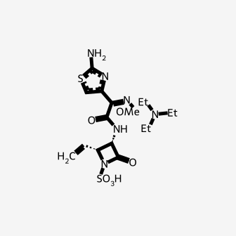 C=C[C@@H]1[C@H](NC(=O)/C(=N\OC)c2csc(N)n2)C(=O)N1S(=O)(=O)O.CCN(CC)CC